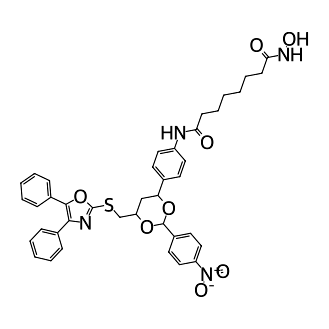 O=C(CCCCCCC(=O)Nc1ccc(C2CC(CSc3nc(-c4ccccc4)c(-c4ccccc4)o3)OC(c3ccc([N+](=O)[O-])cc3)O2)cc1)NO